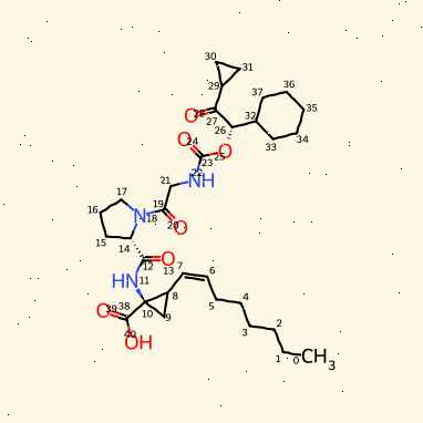 CCCCCC/C=C\C1C[C@]1(NC(=O)[C@@H]1CCCN1C(=O)CNC(=O)O[C@H](C(=O)C1CC1)C1CCCCC1)C(=O)O